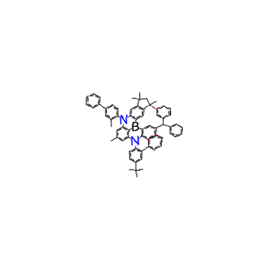 Cc1cc2c3c(c1)N(c1ccc(C(C)(C)C)cc1-c1ccccc1)c1ccc(C(c4ccccc4)c4ccccc4)cc1B3c1cc3c(cc1N2c1ccc(-c2ccccc2)cc1C)C(C)(C)CC3(C)C